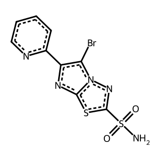 NS(=O)(=O)c1nn2c(Br)c(-c3ccccn3)nc2s1